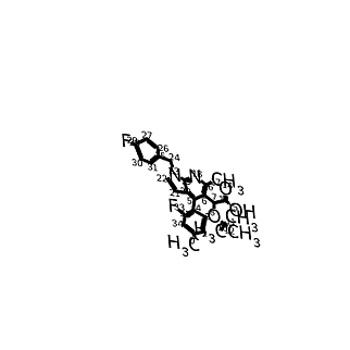 Cc1ccc(-c2c(C(OC(C)(C)C)C(=O)O)c(C)nc3c2ccn3Cc2ccc(F)cc2)c(F)c1